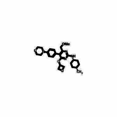 COCc1nc(N[C@H]2CC[C@@H](C)CC2)nc(OC2COC2)c1-c1ccc(N2CCOCC2)cc1